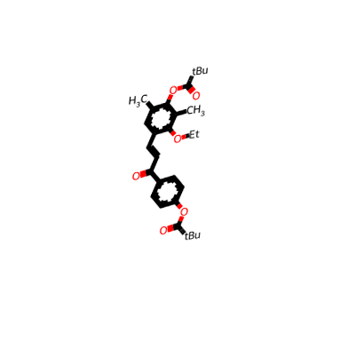 CCOc1c(/C=C/C(=O)c2ccc(OC(=O)C(C)(C)C)cc2)cc(C)c(OC(=O)C(C)(C)C)c1C